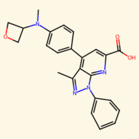 Cc1nn(-c2ccccc2)c2nc(C(=O)O)cc(-c3ccc(N(C)C4COC4)cc3)c12